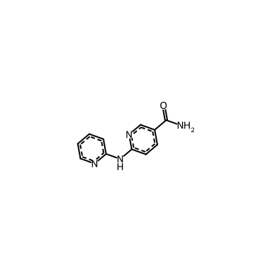 NC(=O)c1ccc(Nc2ccccn2)nc1